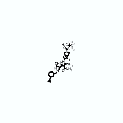 Cc1nn(Cc2cccc(C3CC3)c2)cc1-c1nn([C@@H]2C[C@]34CN(C(=O)OC(C)(C)C)CC3[C@H]24)c(N)c1C(N)=O